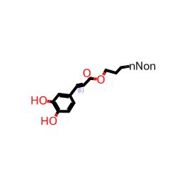 CCCCCCCCCCCCOC(=O)/C=C/c1ccc(O)c(O)c1